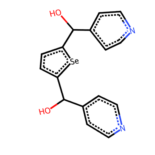 OC(c1ccncc1)c1ccc(C(O)c2ccncc2)[se]1